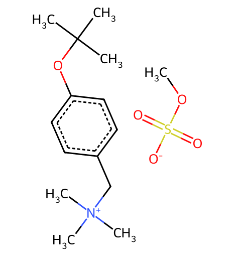 CC(C)(C)Oc1ccc(C[N+](C)(C)C)cc1.COS(=O)(=O)[O-]